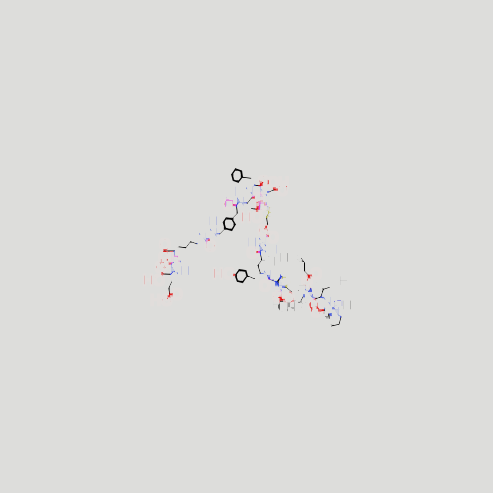 CCCC(=O)OCN(C(=O)C(NC(=O)[C@H]1CCCCN1C)[C@@H](C)CC)[C@H](C[C@@H](OC(C)=O)c1nc(C(=O)N[C@@H](Cc2ccc(O)cc2)C[C@H](C)C(=O)NNC(=O)OCCSSC[C@H](NC(=O)[C@H](Cc2ccccc2)NC(=O)[C@H](CC(=O)O)NC(=O)Cc2ccc(CNC(=O)NCCCC[C@H](NC(=O)N[C@@H](CCC(=O)O)C(=O)O)C(=O)O)cc2)C(=O)O)cs1)C(C)C